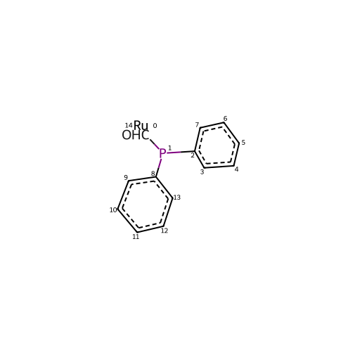 O=CP(c1ccccc1)c1ccccc1.[Ru]